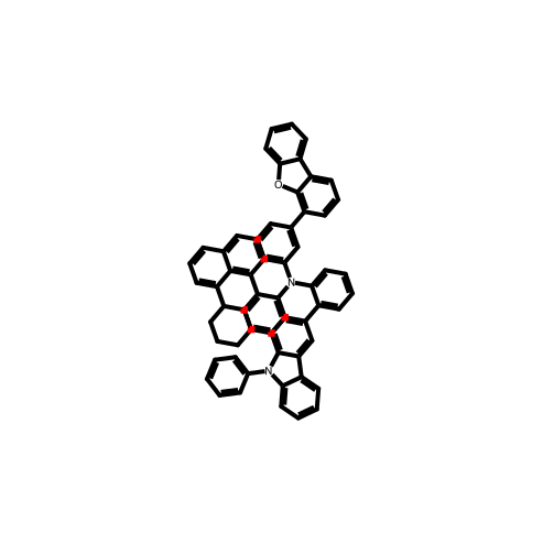 c1ccc(-n2c3ccccc3c3cc(-c4ccccc4N(c4cccc(-c5cccc6c5oc5ccccc56)c4)c4ccccc4-c4cccc5cccc(C6CCCCC6)c45)ccc32)cc1